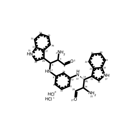 Cl.Cl.NC(C=O)C(Nc1cccc(N[C@H](c2c[nH]c3ccccc23)C(N)C=O)c1)c1c[nH]c2ccccc12